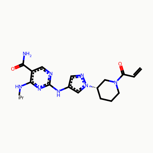 C=CC(=O)N1CCC[C@H](n2cc(Nc3ncc(C(N)=O)c(NC(C)C)n3)cn2)C1